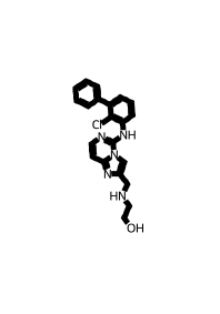 OCCNCc1cn2c(Nc3cccc(-c4ccccc4)c3Cl)nccc2n1